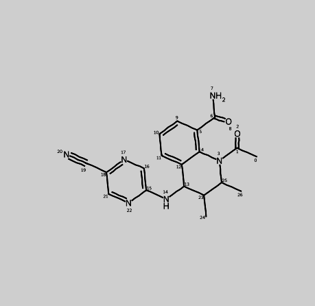 CC(=O)N1c2c(C(N)=O)cccc2C(Nc2cnc(C#N)cn2)C(C)C1C